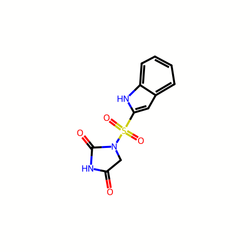 O=C1CN(S(=O)(=O)c2cc3ccccc3[nH]2)C(=O)N1